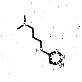 CN(C)CCCNc1c[nH]nn1